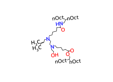 CCCCCCCCC(CCCCCCCC)CNC(=O)CCCCCN(CC=C(C)C)CCN(CCO)CCCCCC(=O)OCC(CCCCCCCC)CCCCCCCC